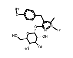 Cc1c(Cc2ccc(OC(C)C)cc2)c(O[C@H]2O[C@H](CO)[C@@H](O)[C@H](O)[C@H]2O)nn1C(C)C